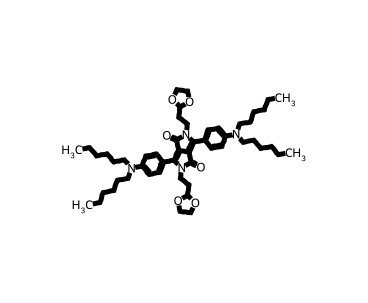 CCCCCCN(CCCCCC)c1ccc(C2=C3C(=O)N(CCC4OCCO4)C(c4ccc(N(CCCCCC)CCCCCC)cc4)=C3C(=O)N2CCC2OCCO2)cc1